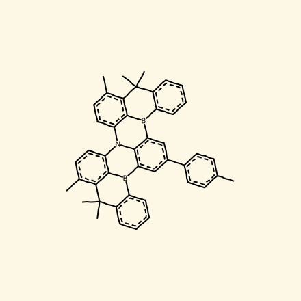 Cc1ccc(-c2cc3c4c(c2)B2c5ccccc5C(C)(C)c5c(C)ccc(c52)N4c2ccc(C)c4c2B3c2ccccc2C4(C)C)cc1